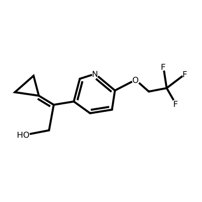 OCC(=C1CC1)c1ccc(OCC(F)(F)F)nc1